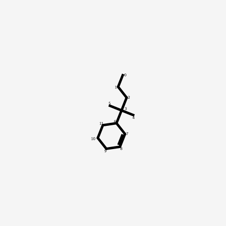 CCCC(C)(C)C1C=CCCC1